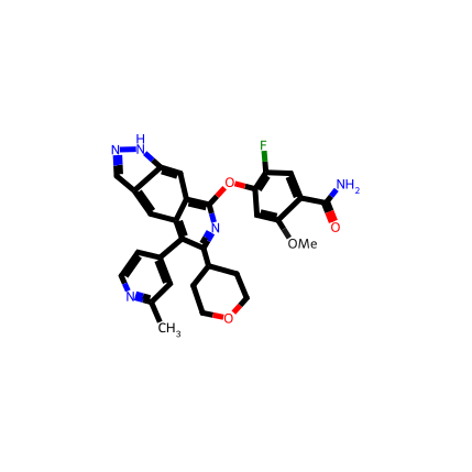 COc1cc(Oc2nc(C3CCOCC3)c(-c3ccnc(C)c3)c3cc4cn[nH]c4cc23)c(F)cc1C(N)=O